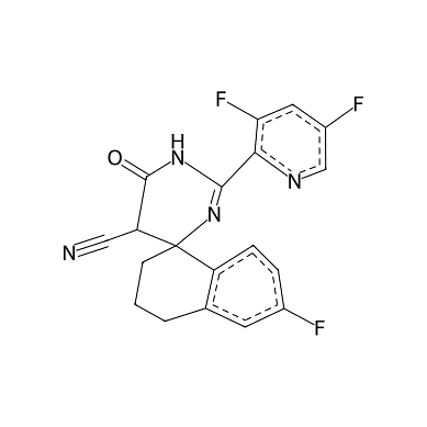 N#CC1C(=O)NC(c2ncc(F)cc2F)=NC12CCCc1cc(F)ccc12